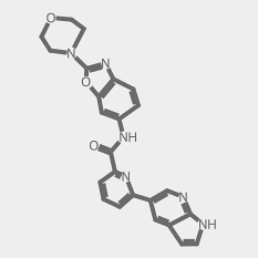 O=C(Nc1ccc2nc(N3CCOCC3)oc2c1)c1cccc(-c2cnc3[nH]ccc3c2)n1